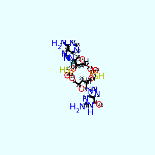 Nc1nc2c(nnn2C2OC3COP(=O)(S)O[C@@H]4[C@@H](COP(=O)(S)O[C@H]2C3)OC[C@@]4(F)n2nnc3c(N)ncnc32)c(=O)[nH]1